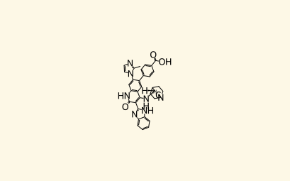 Cc1nccn1-c1cc2[nH]c(=O)c(-c3nc4ccccc4[nH]3)c(N[C@H]3CN4CCC3CC4)c2cc1-c1ccc(C(=O)O)cc1